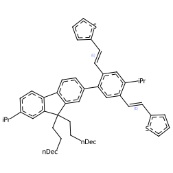 CCCCCCCCCCCCC1(CCCCCCCCCCCC)c2cc(-c3cc(/C=C/c4cccs4)c(C(C)C)cc3/C=C/c3cccs3)ccc2-c2ccc(C(C)C)cc21